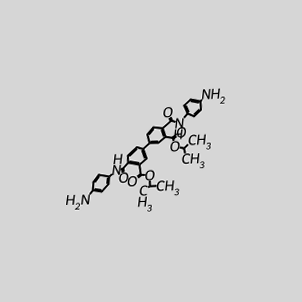 CC(C)OC(=O)c1cc(-c2ccc(C(=O)Nc3ccc(N)cc3)c(C(=O)OC(C)C)c2)ccc1C(=O)Nc1ccc(N)cc1